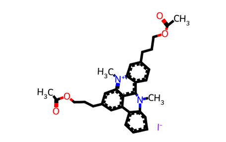 CC(=O)OCCCc1ccc2c3c4c(cc(CCCOC(C)=O)cc4[n+](C)c2c1)-c1ccccc1N3C.[I-]